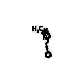 Cc1cc2nc(CCC#Cc3ccccc3)ccn2n1